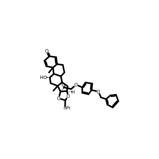 CCCC1O[C@@H]2CC3C4CCC5=CC(=O)C=CC5(C)C4[C@@H](O)CC3(C)[C@]2(C(=O)COc2ccc(OCc3ccccc3)cc2)O1